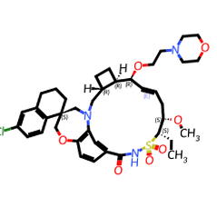 CC[C@H]1[C@@H](OC)C/C=C/[C@H](OCCN2CCOCC2)[C@@H]2CC[C@H]2CN2C[C@@]3(CCCc4cc(Cl)ccc43)COc3ccc(cc32)C(=O)NS1(=O)=O